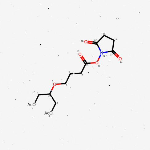 CC(=O)OCC(COC(C)=O)OCCCC(=O)ON1C(=O)CCC1=O